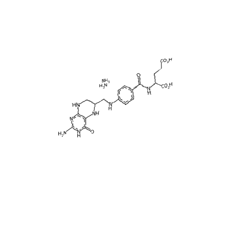 N.N.Nc1nc2c(c(=O)[nH]1)NC(CNc1ccc(C(=O)NC(CCC(=O)O)C(=O)O)cc1)CN2